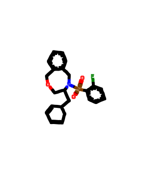 O=S(=O)(c1ccccc1F)N1Cc2ccccc2COCC1CC1C=CC=CC1